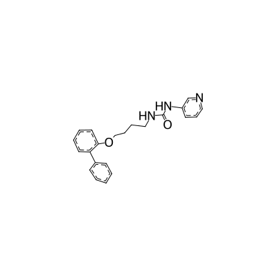 O=C(NCCCCOc1ccccc1-c1ccccc1)Nc1cccnc1